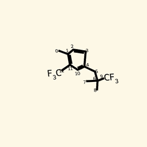 Cc1ccc(CC(C)(C)C(F)(F)F)cc1C(F)(F)F